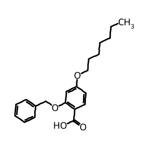 CCCCCCCOc1ccc(C(=O)O)c(OCc2ccccc2)c1